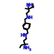 CCC(C)(N)CCNCc1ccc(CNCCC(C)(N)CC)cc1